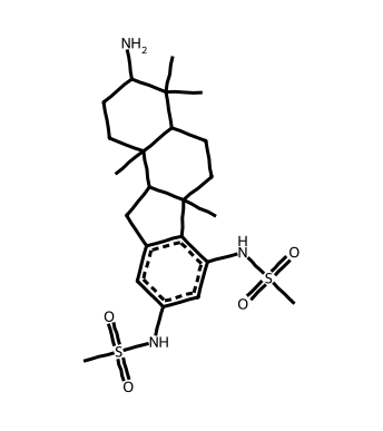 CC12CCC3C(C)(C)C(N)CCC3(C)C1Cc1cc(NS(C)(=O)=O)cc(NS(C)(=O)=O)c12